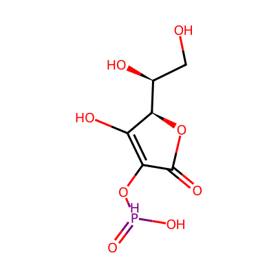 O=C1O[C@H]([C@@H](O)CO)C(O)=C1O[PH](=O)O